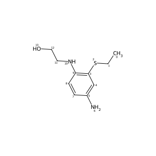 CCSc1cc(N)ccc1NCCO